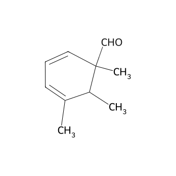 CC1=CC=CC(C)(C=O)C1C